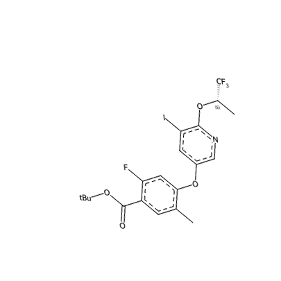 Cc1cc(C(=O)OC(C)(C)C)c(F)cc1Oc1cnc(O[C@@H](C)C(F)(F)F)c(I)c1